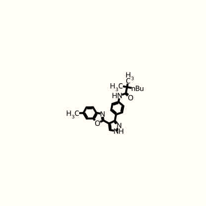 CCCCC(C)(C)C(=O)Nc1ccc(-c2n[nH]cc2-c2nc3ccc(C)cc3o2)cc1